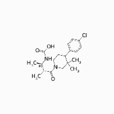 CC(C(=O)N1CCC(c2ccc(Cl)cc2)C(C)(C)C1)[C@@H](C)NC(=O)O